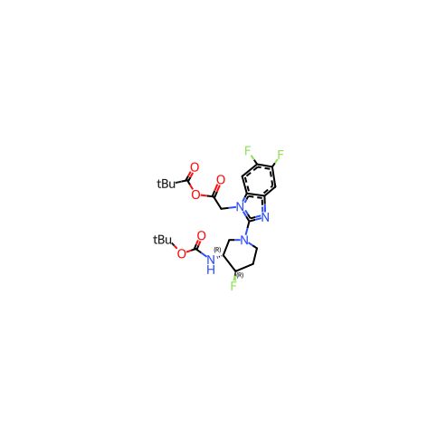 CC(C)(C)OC(=O)N[C@@H]1CN(c2nc3cc(F)c(F)cc3n2CC(=O)OC(=O)C(C)(C)C)CC[C@H]1F